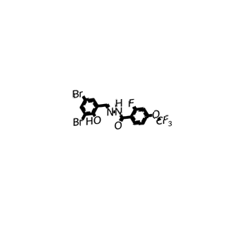 O=C(NN=Cc1cc(Br)cc(Br)c1O)c1ccc(OC(F)(F)F)cc1F